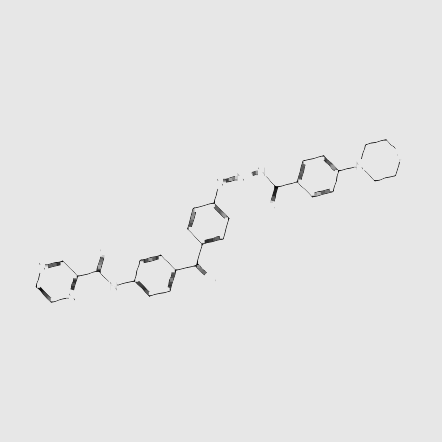 O=C(N=[N+]=Nc1ccc(C(=O)c2ccc(NC(=O)c3cnccn3)cc2)cc1)c1ccc(N2CCOCC2)cc1